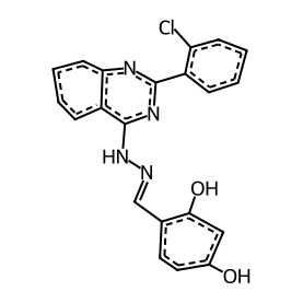 Oc1ccc(C=NNc2nc(-c3ccccc3Cl)nc3ccccc23)c(O)c1